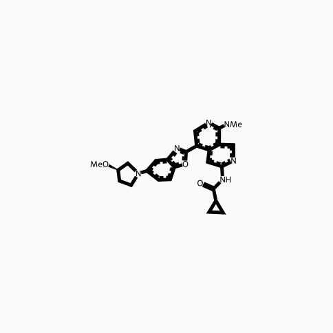 CNc1ncc(-c2nc3cc(N4CC[C@@H](OC)C4)ccc3o2)c2cc(NC(=O)C3CC3)ncc12